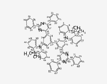 C[Si]1(C)c2ccccc2N(c2cc(-c3cc(-c4cc(-c5ccccc5)nc(-c5ccccc5)n4)cc(N4c5ccccc5[Si](C)(C)c5ccccc54)c3)cc(-c3cc(-c4ccccc4)nc(-c4ccccc4)n3)c2)c2ccccc21